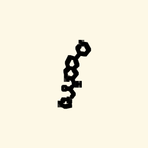 O=C(Cn1ccnc1)Nc1cc2cc(-c3cccnc3)ccc2cn1